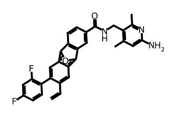 C=Cc1cc2c(cc1-c1ccc(F)cc1F)c1oc2c2cc(C(=O)NCc3c(C)cc(N)nc3C)ccc21